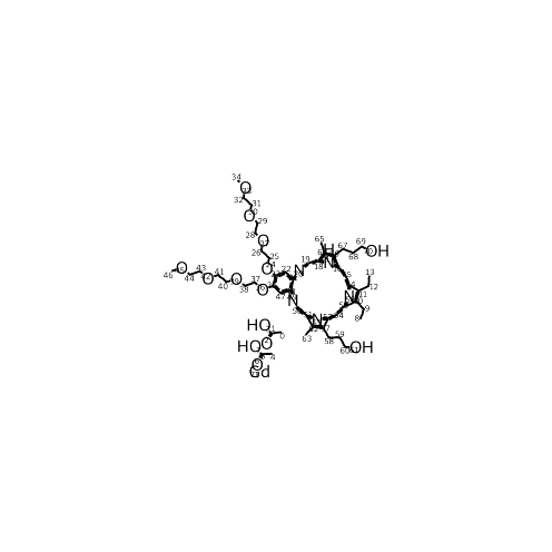 CC(=O)O.CC(=O)O.CCC1=C(CC)c2cc3[nH]c(cnc4cc(OCCOCCOCCOC)c(OCCOCCOCCOC)cc4ncc4nc(cc1n2)C(CCCO)=C4C)c(C)c3CCCO.[Gd]